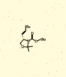 CC(C)(C)/C=C/[C@H]1COC(C)(C)N1C(=O)OC(C)(C)C